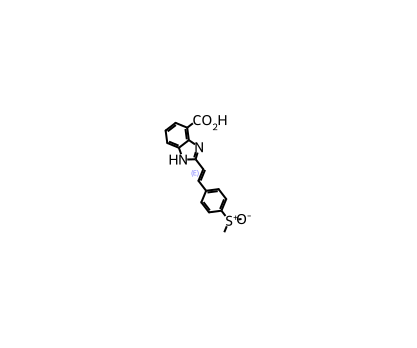 C[S+]([O-])c1ccc(/C=C/c2nc3c(C(=O)O)cccc3[nH]2)cc1